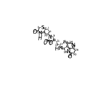 O=C1CSc2ccc(N3C[C@H](CCCNC4Cn5c(=O)ccc6ncc(F)c4c65)OC3=O)cc2N1